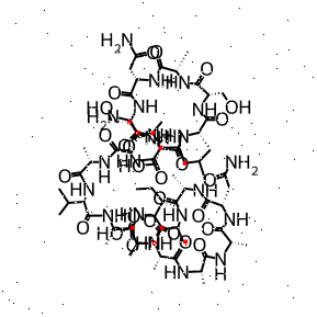 CC[C@H](C)[C@H](NC(=O)[C@H](C)NC(=O)[C@@H](NC(=O)[C@H](C)NC(=O)[C@H](CC(C)C)NC(=O)[C@@H](NC(=O)[C@H](CO)NC(=O)[C@H](CC(N)=O)NC(=O)[C@H](C)NC(=O)[C@H](CO)NC(=O)[C@H](CC(C)C)NC(=O)[C@H](CO)NC(=O)CN)C(C)C)C(C)C)C(=O)N[C@@H](C)C(=O)N[C@@H](C)C(=O)N[C@@H](C)C(=O)N[C@@H](CC(N)=O)C(=O)N[C@@H](C)C(=O)N[C@@H](C)C(=O)N[C@@H](C)C(=O)O